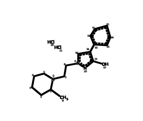 CC1CCCCN1CCn1cc(-c2ccccc2)c(O)n1.Cl.Cl